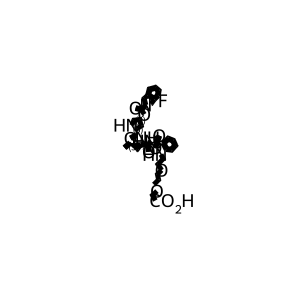 C=C[C@@H]1C[C@]1(NC(=O)[C@@H]1C[C@@H](OC(=O)N2Cc3cccc(F)c3C2)CN1)C(=O)NS(=O)(=O)c1ccccc1NCCOCCCOCC(=O)O